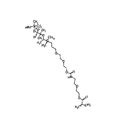 C=C(C)C(=O)OCCOCCNC(=O)OCCOCCOCCC[Si](C)(C)C(C)O[Si](C)(C)[C@](C)(CC)O[Si](C)(C)CCCC